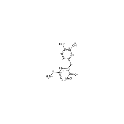 COC(=O)[C@H](Cc1ccc(O)c(O)c1)NC(=O)CN